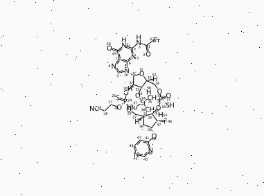 CC(C)C(=O)Nc1nc2c(ncn2[C@@H]2O[C@@H]3CO[P@](=O)(S)O[C@@H]4[C@@H](CO[P@](=S)(OCCC#N)O[C@@H]2[C@@H]3O[Si](C)(C)C(C)(C)C)C[C@@H](Oc2ccncn2)[C@@H]4F)c(=O)[nH]1